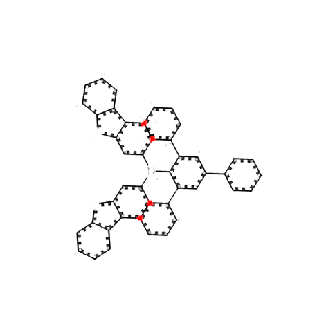 c1ccc(-c2cc(-c3ccccc3)c(N(c3ccc4c(c3)sc3ccccc34)c3ccc4c(c3)sc3ccccc34)c(-c3ccccc3)c2)cc1